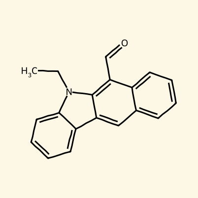 CCn1c2ccccc2c2cc3ccccc3c(C=O)c21